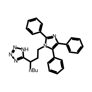 CCCCC(CCn1c(-c2ccccc2)nc(-c2ccccc2)c1-c1ccccc1)c1nnn[nH]1